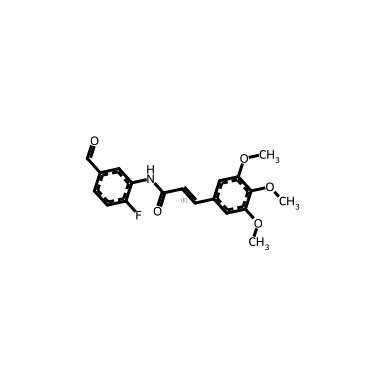 COc1cc(/C=C/C(=O)Nc2cc(C=O)ccc2F)cc(OC)c1OC